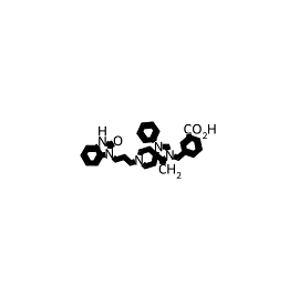 C=C1N(Cc2cccc(C(=O)O)c2)CN(c2ccccc2)C12CCN(CCCn1c(=O)[nH]c3ccccc31)CC2